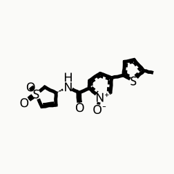 Cc1ccc(-c2ccc(C(=O)N[C@@H]3C=CS(=O)(=O)C3)[n+]([O-])c2)s1